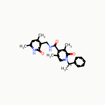 Cc1cc(C)c(CNC(=O)c2c(C)cn([C@H](C)c3ccccc3)c(=O)c2C)c(=O)[nH]1